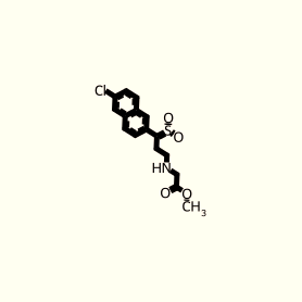 COC(=O)CNCCC(c1ccc2cc(Cl)ccc2c1)=S(=O)=O